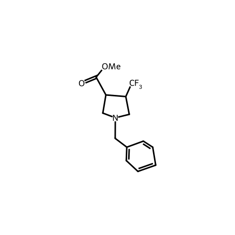 COC(=O)C1CN(Cc2ccccc2)CC1C(F)(F)F